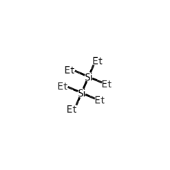 CC[Si](CC)(CC)[Si](CC)(CC)CC